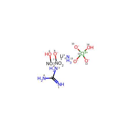 N.N=C(N)N.O=[N+]([O-])O.O=[N+]([O-])[O-].[Li+].[O-][Cl+3]([O-])([O-])O